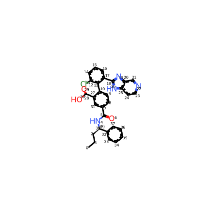 CCC[C@@H](NC(=O)c1ccc(-c2c(Cl)cccc2-c2nc3cnccc3[nH]2)c(C(=O)O)c1)c1ccccc1